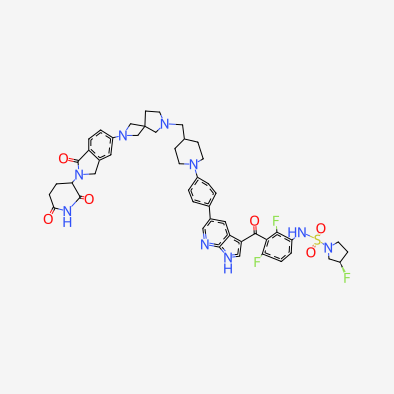 O=C1CCC(N2Cc3cc(N4CC5(CCN(CC6CCN(c7ccc(-c8cnc9[nH]cc(C(=O)c%10c(F)ccc(NS(=O)(=O)N%11CC[C@@H](F)C%11)c%10F)c9c8)cc7)CC6)C5)C4)ccc3C2=O)C(=O)N1